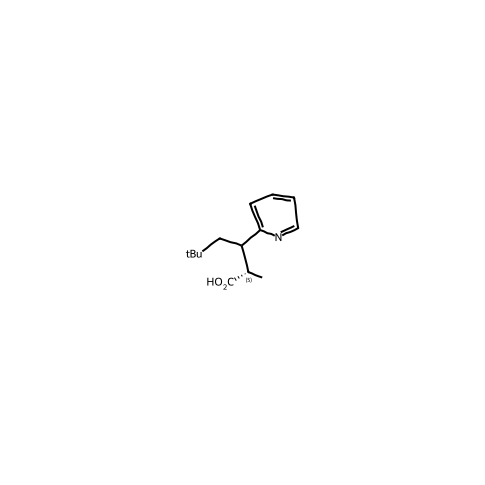 C[C@H](C(=O)O)C(CC(C)(C)C)c1ccccn1